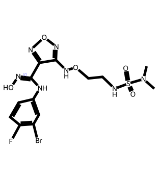 CN(C)S(=O)(=O)NCCONc1nonc1/C(=N/O)Nc1ccc(F)c(Br)c1